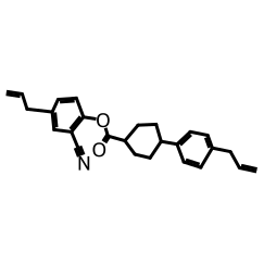 C=CCc1ccc(C2CCC(C(=O)Oc3ccc(CC=C)cc3C#N)CC2)cc1